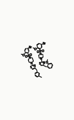 COc1ccc(Br)cc1S(=O)(=O)N1CCN(c2nc(Cc3cccc(C)c3)cs2)CC1.COc1ccccc1Cc1csc(N2CCN(S(=O)(=O)c3cc(Br)ccc3OC)CC2)n1